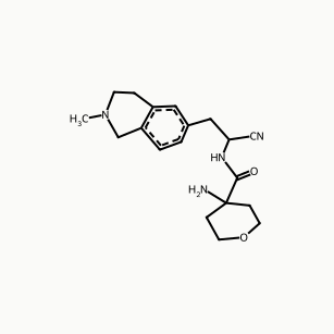 CN1CCc2cc(CC(C#N)NC(=O)C3(N)CCOCC3)ccc2C1